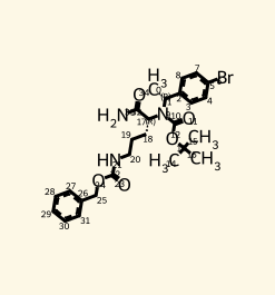 C[C@H](c1ccc(Br)cc1)N(C(=O)OC(C)(C)C)[C@H](CCCNC(=O)OCc1ccccc1)C(N)=O